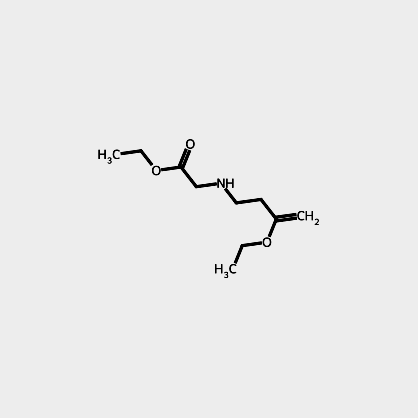 C=C(CCNCC(=O)OCC)OCC